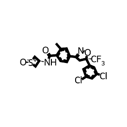 Cc1cc(C2=NO[C@](c3cc(Cl)cc(Cl)c3)(C(F)(F)F)C2)ccc1C(=O)N[C@H]1C[S@+]([O-])C1